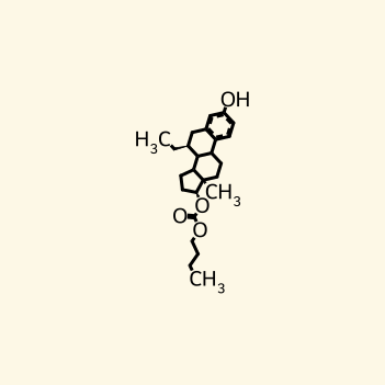 CCCCOC(=O)O[C@H]1CCC2C3C(CC[C@@]21C)c1ccc(O)cc1C[C@@H]3CC